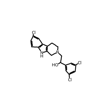 OC(CN1CCc2c([nH]c3ccc(Cl)cc23)C1)c1cc(Cl)cc(Cl)c1